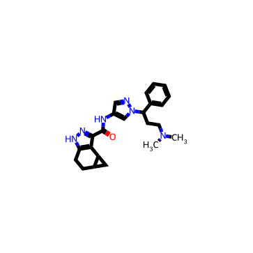 CN(C)CCC(c1ccccc1)n1cc(NC(=O)c2n[nH]c3c2C2CC2CC3)cn1